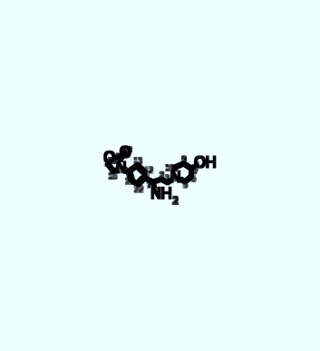 NC(CCN1CCC(O)CC1)c1ccc(N2CCOC2=O)cc1